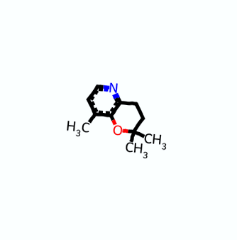 Cc1ccnc2c1OC(C)(C)CC2